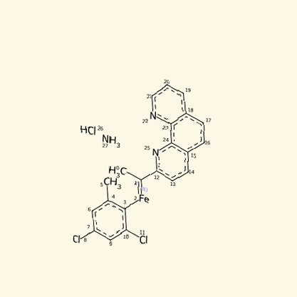 C/[C](=[Fe]\[c]1c(C)cc(Cl)cc1Cl)c1ccc2ccc3cccnc3c2n1.Cl.N